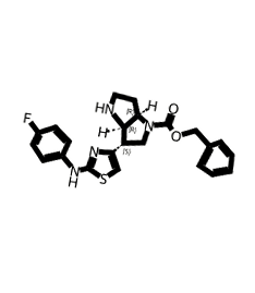 O=C(OCc1ccccc1)N1C[C@H](c2csc(Nc3ccc(F)cc3)n2)[C@H]2NCC[C@H]21